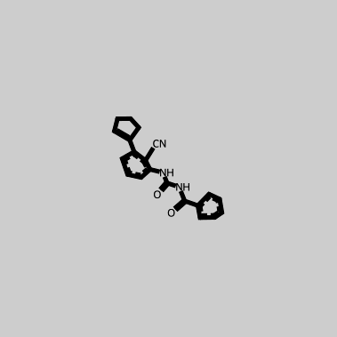 N#Cc1c(NC(=O)NC(=O)c2ccccc2)cccc1C1=CCCC1